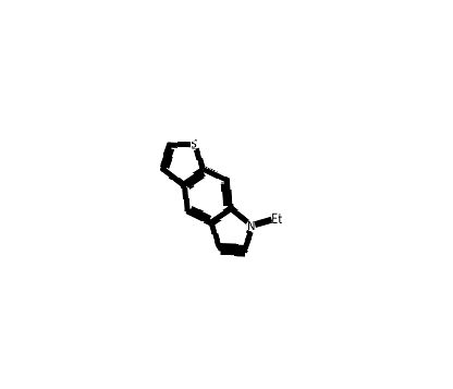 CCn1c#cc2cc3ccsc3cc21